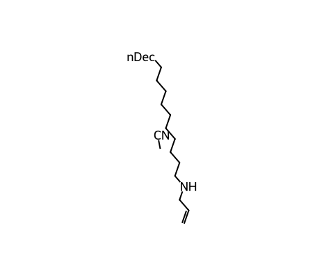 C=CCNCCCCCCCCCCCCCCCCCCCC.CC#N